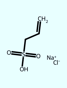 C=CCS(=O)(=O)O.[Cl-].[Na+]